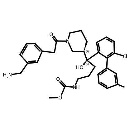 COC(=O)NCCC[C@@](O)(c1cccc(Cl)c1-c1cccc(C)c1)[C@@H]1CCCN(C(=O)Cc2cccc(CN)c2)C1